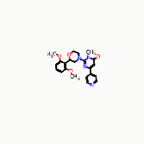 COc1cccc(OC)c1C1CN(c2nc(-c3ccncc3)cc(=O)n2C)CCO1